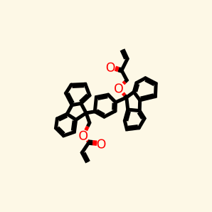 C=CC(=O)COC1(c2ccc(C3(COC(=O)C=C)c4ccccc4-c4ccccc43)cc2)c2ccccc2-c2ccccc21